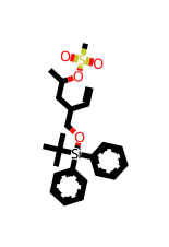 C=CC(CO[Si](c1ccccc1)(c1ccccc1)C(C)(C)C)CC(C)OS(C)(=O)=O